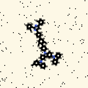 Cc1ccc2c(c1)c1ccccc1n2-c1ccc2c(c1)c1cc(-n3c4ccccc4c4ccccc43)ccc1n2-c1ccc(-c2c(C)cc(-c3ccc(-c4cc(-c5ccccc5C)nc(-c5ccccc5C)n4)cc3)cc2C)cc1